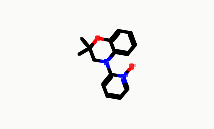 CC1(C)CN(c2cccc[n+]2[O-])c2ccccc2O1